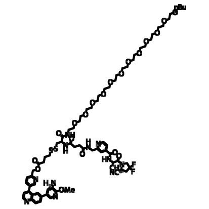 CCCCOCCOCCOCCOCCOCCOCCOCCOCCOCCOCCOCCOCCNC(=O)C(CSSCCCC(=O)OCc1ccc(-c2ccnc3ccc(-c4cnc(OC)c(N)c4)cc23)cn1)NC(=O)CCC(=O)NCc1cc(C(=O)NC(C)C(=O)N2CC(F)(F)C[C@H]2C#N)ccn1